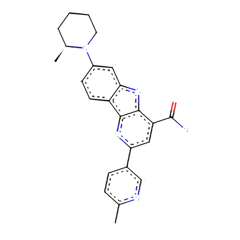 Cc1ccc(-c2cc(C(N)=O)c3[nH]c4cc(N5CCCC[C@@H]5C)ccc4c3n2)cn1